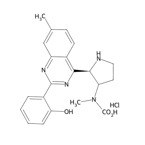 Cc1ccc2c([C@H]3NCCC3N(C)C(=O)O)nc(-c3ccccc3O)nc2c1.Cl